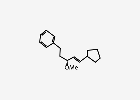 CO[C@H](/C=C/C1CCCC1)CCc1ccccc1